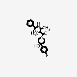 CC(NC(=O)c1ccccc1)C(C)C(=O)N1CCC(O)(c2ccc(F)cc2)CC1